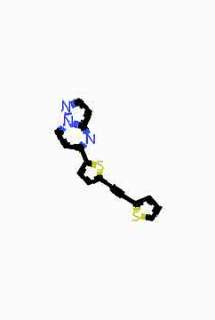 C(#Cc1ccc(-c2ccn3nccc3n2)s1)c1cccs1